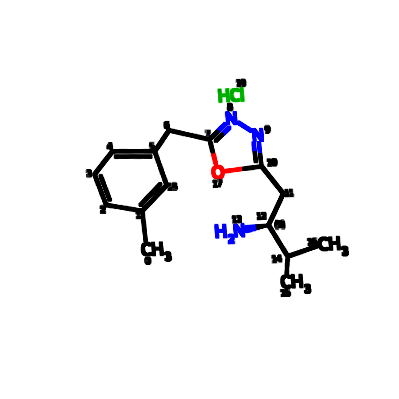 Cc1cccc(Cc2nnc(C[C@H](N)C(C)C)o2)c1.Cl